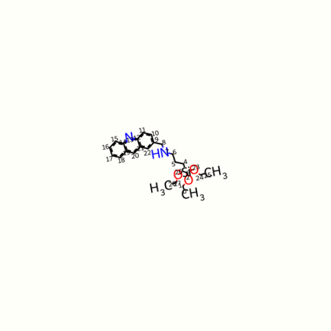 CCO[Si](CCCNCc1ccc2nc3ccccc3cc2c1)(OCC)OCC